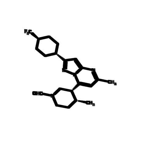 Cc1cc([C@H]2CN(C=O)CC[C@H]2C)n2nc([C@H]3CC[C@H](C(F)(F)F)CC3)cc2n1